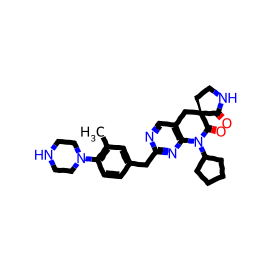 Cc1cc(Cc2ncc3c(n2)N(C2CCCC2)C(=O)[C@]2(CCNC2=O)C3)ccc1N1CCNCC1